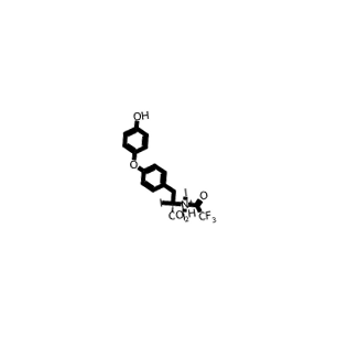 O=C(O)[C@](I)(Cc1ccc(Oc2ccc(O)cc2)cc1)[N+](I)(I)C(=O)C(F)(F)F